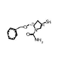 NC(=O)N1C[C@H](S)C[C@H]1COCc1ccccc1